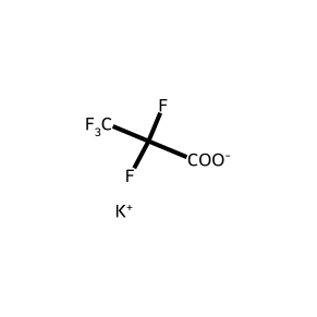 O=C([O-])C(F)(F)C(F)(F)F.[K+]